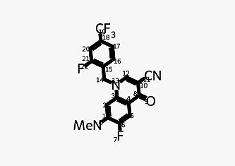 CNc1cc2c(cc1F)c(=O)c(C#N)cn2Cc1ccc(C(F)(F)F)cc1F